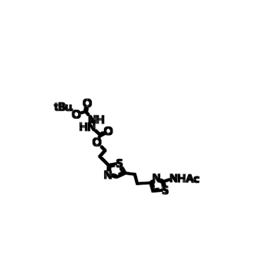 CC(=O)Nc1nc(CCc2cnc(CCOC(=O)NNC(=O)OC(C)(C)C)s2)cs1